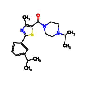 Cc1nc(-c2cccc(C(C)C)c2)sc1C(=O)N1CCN(C(C)C)CC1